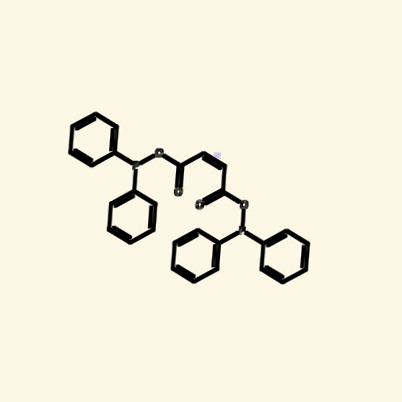 O=C(/C=C\C(=O)OP(c1ccccc1)c1ccccc1)OP(c1ccccc1)c1ccccc1